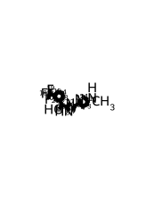 CNc1ccc(-c2c[nH]c(C(O)c3cccc(C(F)(F)F)c3)n2)nc1